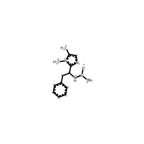 Cc1cnc(C(Cc2ccccc2)N[S+]([O-])C(C)(C)C)n1C